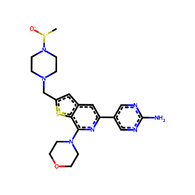 C[S+]([O-])N1CCN(Cc2cc3cc(-c4cnc(N)nc4)nc(N4CCOCC4)c3s2)CC1